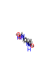 COC(=O)C(C)=NNc1ccc(C2=NNC(=O)CC2C)cc1